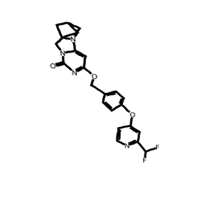 O=c1nc(OCc2ccc(Oc3ccnc(C(F)F)c3)cc2)cc2n1CC13CC(CN21)C3